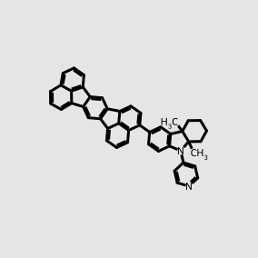 CC12CCCCC1(C)N(c1ccncc1)c1ccc(-c3ccc4c5cc6c(cc5c5cccc3c54)c3cccc4cccc6c43)cc12